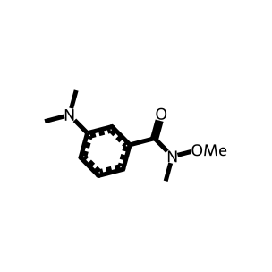 CON(C)C(=O)c1cccc(N(C)C)c1